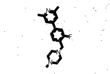 Cc1cc(-c2ccc(CN3CCN(C)CC3)c(F)c2)cc(C)n1